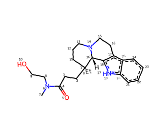 CC[C@]1(CCC(=O)N(C)CCO)CCCN2CCc3c([nH]c4ccccc34)[C@@H]21